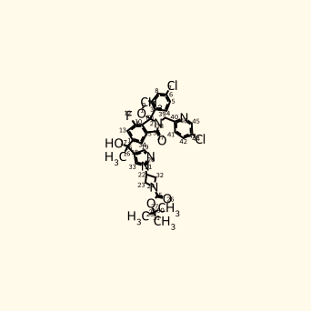 CO[C@]1(c2ccc(Cl)cc2)c2c(F)cc(C(C)(O)c3cnn(C4CN(C(=O)OC(C)(C)C)C4)c3)cc2C(=O)N1Cc1ccc(Cl)cn1